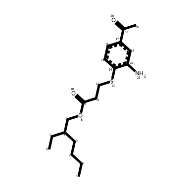 CCCCC(CC)COC(=O)CCSc1ccc(C(C)=O)cc1N